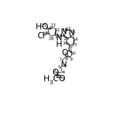 CS(=O)(=O)CC/N=C/c1ccc(-c2ccc3ncnc(NC4=CC=C(O)C(Cl)C4)c3c2)o1